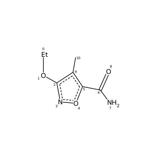 CCOc1noc(C(N)=O)c1C